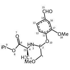 COCP(N[C@@H](C)C(=O)OC(C)C)Oc1ccc(C=O)cc1OC